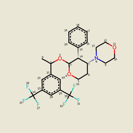 CC(OC1OCC[C@@H](N2CCOCC2)[C@H]1c1ccccc1)c1cc(C(F)(F)F)cc(C(F)(F)F)c1